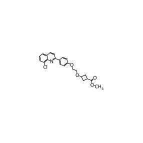 COC(=O)C1CC(OCCOc2ccc(-c3ccc4cccc(Cl)c4n3)cc2)C1